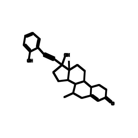 CC1CC2=CC(=O)CCC2C2CCC3(C)C(CCC3(O)C#Cc3ccccc3O)C12